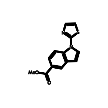 COC(=O)c1ccc2c(ccn2-c2nccs2)c1